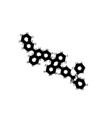 c1ccc(-n2c(-c3ccc(-c4c5ccccc5c(-c5ccc6cc(-c7ccc8ccccc8c7)c7ccccc7c6c5)c5ccccc45)cc3)nc3ccccc32)cc1